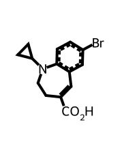 O=C(O)C1=Cc2cc(Br)ccc2N(C2CC2)CC1